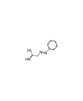 N=C(S)CN=Nc1ccccc1